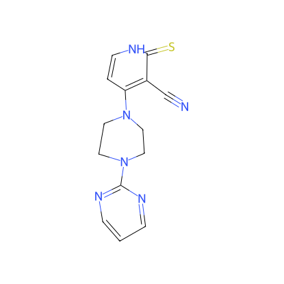 N#Cc1c(N2CCN(c3ncccn3)CC2)cc[nH]c1=S